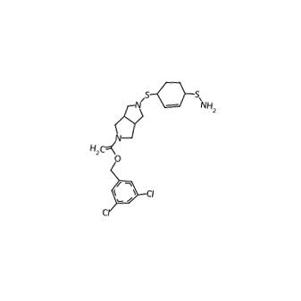 C=C(OCc1cc(Cl)cc(Cl)c1)N1CC2CN(SC3C=CC(SN)CC3)CC2C1